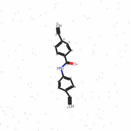 C#Cc1ccc(NC(=O)c2ccc(C#C)cc2)cc1